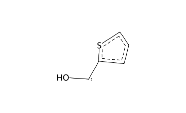 O[C]c1cccs1